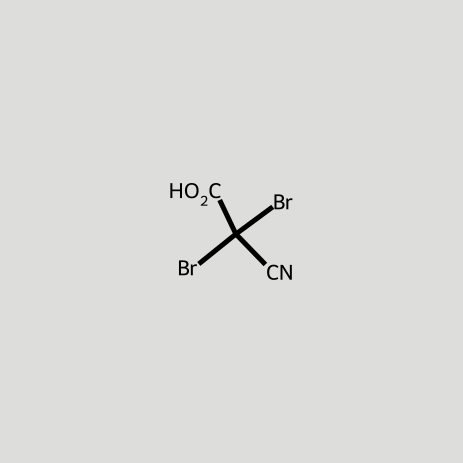 N#CC(Br)(Br)C(=O)O